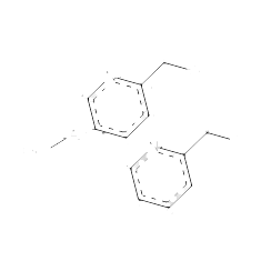 CCCCCCC[CH2][Al+2].[O-]Cc1ccccn1.[O-]Cc1ccccn1